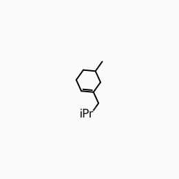 CC(C)CC1=CCCC(C)C1